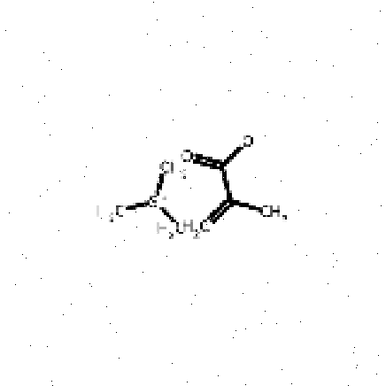 C=C(C)C(=O)[O-].C[Si+](C)C